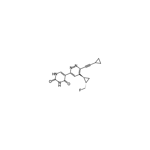 O=c1[nH]cc(-c2cc([C@H]3C[C@@H]3CF)c(C#CC3CC3)nn2)c(=O)[nH]1